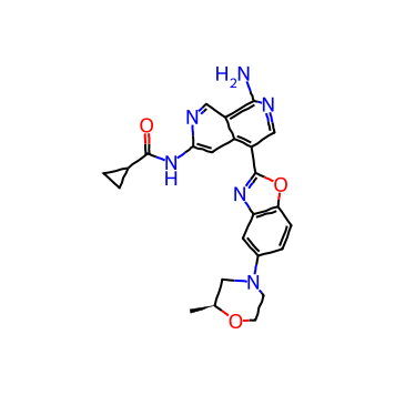 C[C@H]1CN(c2ccc3oc(-c4cnc(N)c5cnc(NC(=O)C6CC6)cc45)nc3c2)CCO1